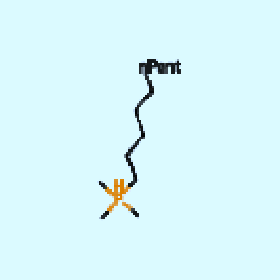 CCCCCCCCCC[PH](C)(C)C